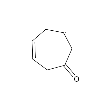 O=C1C[CH]CC=CC1